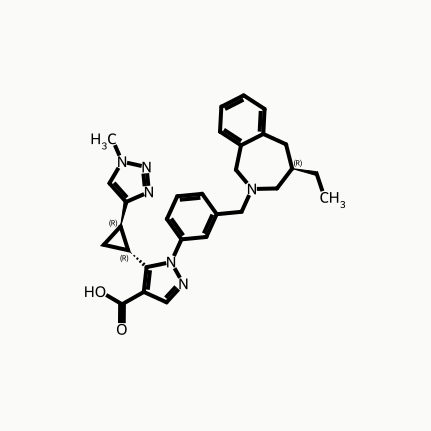 CC[C@@H]1Cc2ccccc2CN(Cc2cccc(-n3ncc(C(=O)O)c3[C@@H]3C[C@H]3c3cn(C)nn3)c2)C1